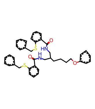 O=C(NCC(CCCCOc1ccccc1)CNC(=O)c1ccccc1SCc1ccccc1)c1ccccc1SCc1ccccc1